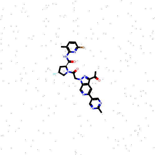 CC(=O)c1nn(CC(=O)N2C[C@H](F)C[C@H]2C(=O)Nc2nc(Br)ccc2C)c2cnc(-c3cnc(C)nc3)cc12